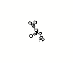 C1=CCCC(c2ccc3c(c2)c2c(n3C3=CC(C4C=C[C@H]5CCCCC5C4)CCC3)CCC(c3ccc4c(c3)C3CCCCC3N4C3CCCCC3)C2)=C1